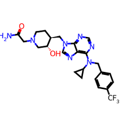 NC(=O)CN1CC[C@@H](Cn2cnc3c(N(Cc4ccc(C(F)(F)F)cc4)C4CC4)ncnc32)[C@H](O)C1